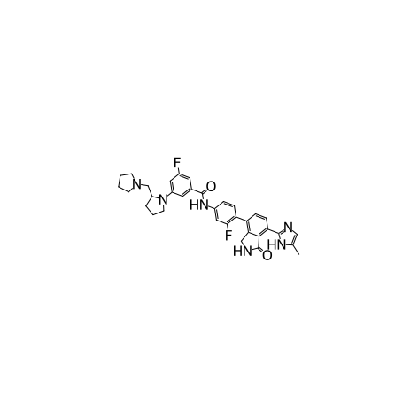 Cc1cnc(-c2ccc(-c3ccc(NC(=O)c4cc(F)cc(N5CCCC5CN5CCCC5)c4)cc3F)c3c2C(=O)NC3)[nH]1